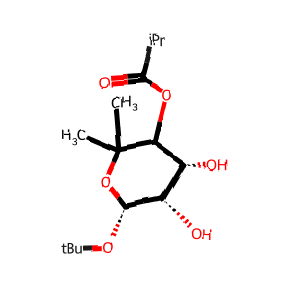 CC(C)C(=O)OC1[C@H](O)[C@H](O)[C@H](OC(C)(C)C)OC1(C)C